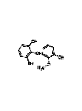 COc1ccccc1O.Oc1cccc(O)c1O